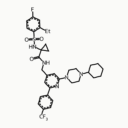 CCc1cc(F)ccc1S(=O)(=O)NC1(C(=O)NCc2cc(-c3ccc(C(F)(F)F)cc3)nc(N3CCN(C4CCCCC4)CC3)c2)CC1